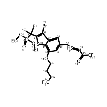 CCOP(=O)(OCC)C(F)(F)c1sc2c(OCCCC(F)(F)F)cc(C/[SH]=N/C(=O)C(F)(F)F)cc2c1Br